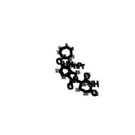 CCCN[C@H]1CCCCC[C@H]1Oc1ccc2c(c1)CN(C1CCC(=O)NC1=O)C2=O